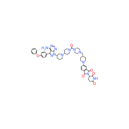 Nc1ncnc2c1c(-c1ccc(Oc3ccccc3)cc1)nn2C1CCCN(C2CCN(C(=O)N3CCN(CC4CCN(c5ccc6c(c5)C(=O)N(C5CCC(=O)NC5=O)C6=O)CC4)CC3)CC2)C1